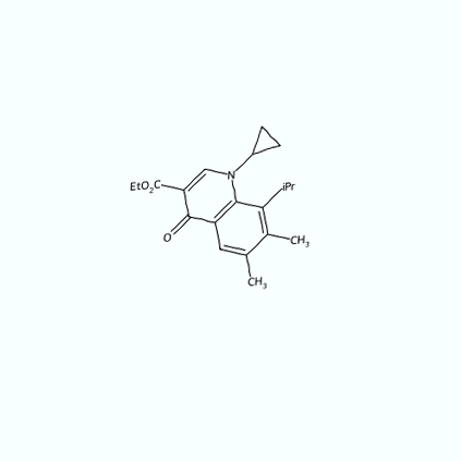 CCOC(=O)c1cn(C2CC2)c2c(C(C)C)c(C)c(C)cc2c1=O